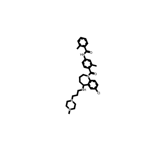 Cc1ccccc1C(=O)Nc1ccc(C(=O)N2CCCC(NCCCN3CCN(C)CC3)c3cc(Cl)ccc32)c(C)c1